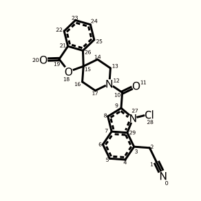 N#CCc1cccc2cc(C(=O)N3CCC4(CC3)OC(=O)c3ccccc34)n(Cl)c12